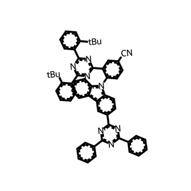 CC(C)(C)c1ccccc1-c1nc(-c2cc(C#N)ccc2-n2c3ccccc3c3cc(-c4nc(-c5ccccc5)nc(-c5ccccc5)n4)ccc32)nc(-c2ccccc2C(C)(C)C)n1